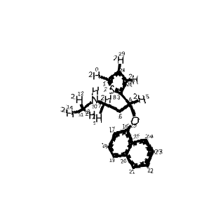 [2H]c1sc(C([2H])(CC([2H])([2H])NC([2H])([2H])[2H])Oc2cccc3ccccc23)c([2H])c1[2H]